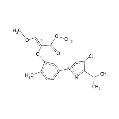 CO/C=C(\Oc1cc(-n2cc(Cl)c(C(C)C)n2)ccc1C)C(=O)OC